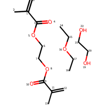 C=C(C)C(=O)OCCOC(=O)C(=C)C.CCOCC.OCCO